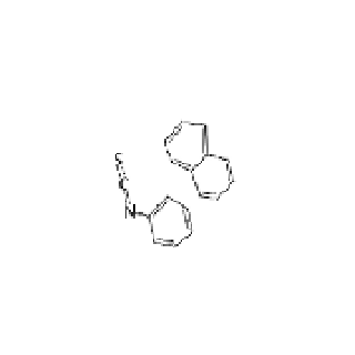 S=C=Nc1ccccc1.c1ccc2ccccc2c1